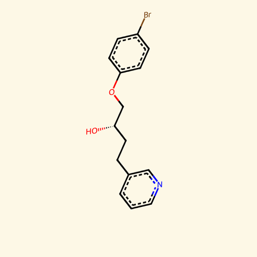 O[C@@H](CCc1cccnc1)COc1ccc(Br)cc1